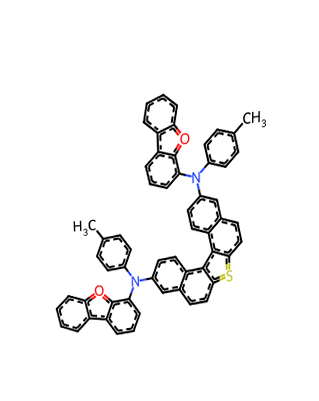 Cc1ccc(N(c2ccc3c(ccc4sc5ccc6cc(N(c7ccc(C)cc7)c7cccc8c7oc7ccccc78)ccc6c5c43)c2)c2cccc3c2oc2ccccc23)cc1